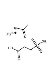 CC(=O)O.O=C(O)CCS(=O)(=O)O.[NaH].[Pb]